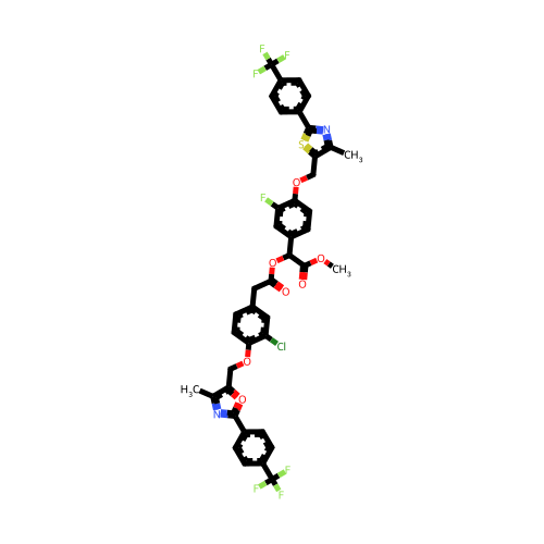 COC(=O)C(OC(=O)Cc1ccc(OCc2oc(-c3ccc(C(F)(F)F)cc3)nc2C)c(Cl)c1)c1ccc(OCc2sc(-c3ccc(C(F)(F)F)cc3)nc2C)c(F)c1